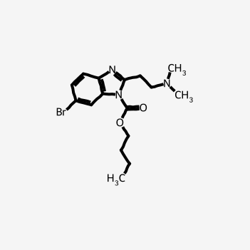 CCCCOC(=O)n1c(CCN(C)C)nc2ccc(Br)cc21